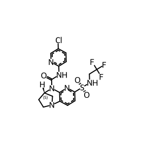 O=C(Nc1ccc(Cl)cn1)N1c2nc(S(=O)(=O)NCC(F)(F)F)ccc2N2CC[C@H]1C2